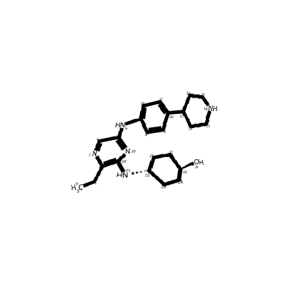 CCc1ncc(Nc2ccc(C3CCNCC3)cc2)nc1N[C@H]1CC[C@H](O)CC1